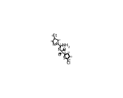 CCC1C=NN(/C(N)=N/S(=O)(=O)c2ccc(Cl)s2)C1